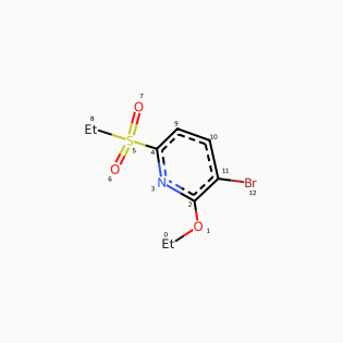 CCOc1nc(S(=O)(=O)CC)ccc1Br